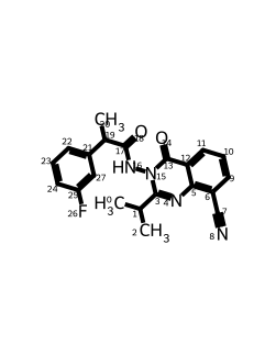 CC(C)c1nc2c(C#N)cccc2c(=O)n1NC(=O)C(C)c1cccc(F)c1